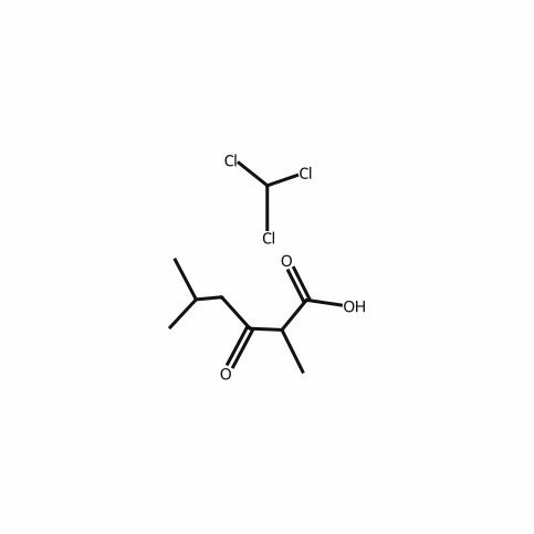 CC(C)CC(=O)C(C)C(=O)O.ClC(Cl)Cl